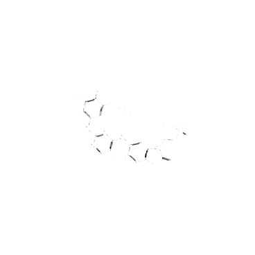 COc1cc(Nc2ncc(C)c(Nc3ccc4oc(=O)n(COP(=O)(O)O)c4c3)n2)cc(C)c1C